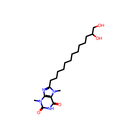 Cn1c(CCCCCCCCCCCC(O)CO)nc2c1c(=O)[nH]c(=O)n2C